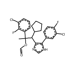 CC(OC=O)(c1cccc(Cl)c1F)C(c1nc[nH]c1-c1ccc(F)c(Cl)c1)C1CCCC1